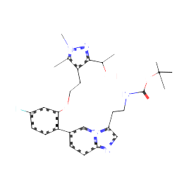 Cc1c(CCOc2cc(F)ccc2-c2ccc3ncc(CCNC(=O)OC(C)(C)C)n3c2)c(C(C)O)nn1C